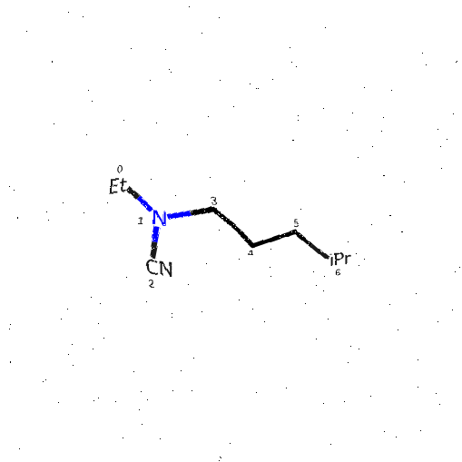 CCN(C#N)CCCC(C)C